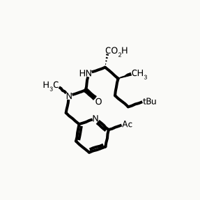 CC(=O)c1cccc(CN(C)C(=O)N[C@H](C(=O)O)[C@@H](C)CCC(C)(C)C)n1